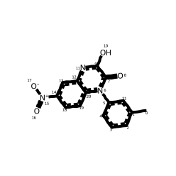 Cc1cccc(-n2c(=O)c(O)nc3cc([N+](=O)[O-])ccc32)c1